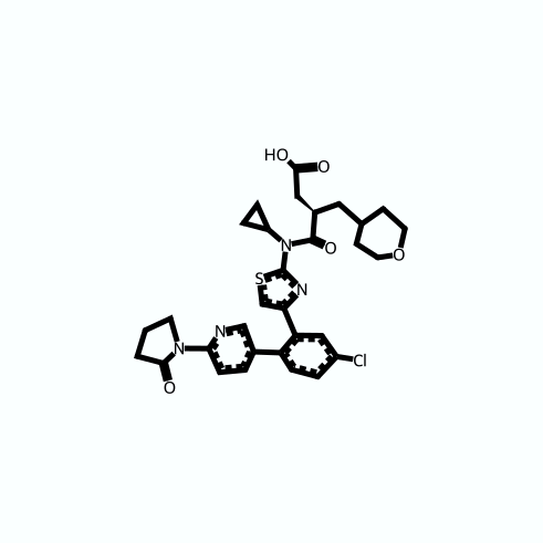 O=C(O)C[C@@H](CC1CCOCC1)C(=O)N(c1nc(-c2cc(Cl)ccc2-c2ccc(N3CCCC3=O)nc2)cs1)C1CC1